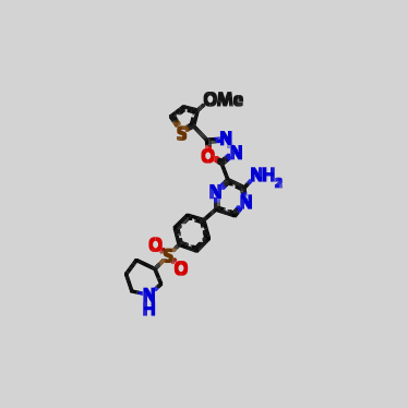 COc1ccsc1-c1nnc(-c2nc(-c3ccc(S(=O)(=O)C4CCCNC4)cc3)cnc2N)o1